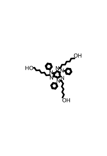 OCCCCCCc1nc2c(c3nc(CCCCCCO)n(-c4ccccc4)c3c3nc(CCCCCCO)n(-c4ccccc4)c23)n1-c1ccccc1